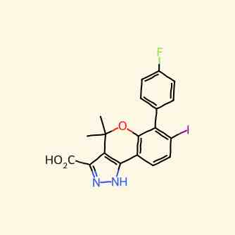 CC1(C)Oc2c(ccc(I)c2-c2ccc(F)cc2)-c2[nH]nc(C(=O)O)c21